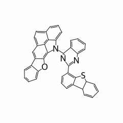 C1=CC2Sc3c(-c4nc(-n5c6cccc7ccc8cc9c%10ccccc%10oc9c5c8c76)c5ccccc5n4)cccc3C2C=C1